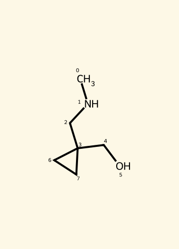 CNCC1(CO)CC1